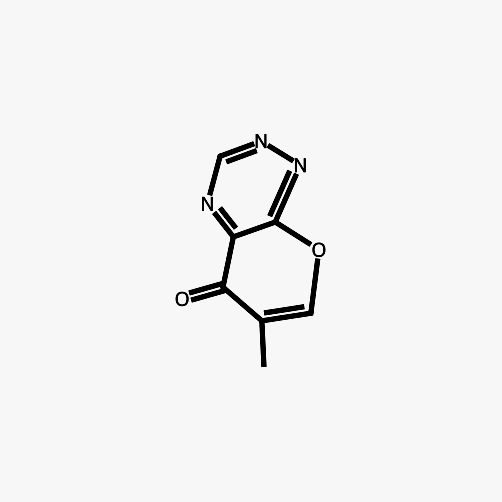 Cc1coc2nncnc2c1=O